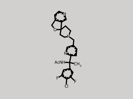 CC(=O)NC(C)(c1cc(F)c(Cl)c(F)c1)c1ccc(CN2CCC3(CC2)OCc2ccncc23)cn1